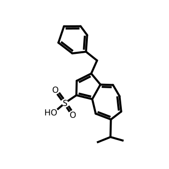 CC(C)c1cccc2c(Cc3ccccc3)cc(S(=O)(=O)O)c-2c1